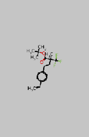 C=Cc1ccc(CCC(C)(C(=O)OC(C)(C)C)C(F)(F)F)cc1